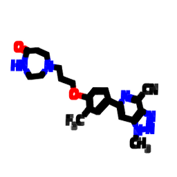 Cn1nnc2c(C#N)nc(-c3ccc(OCCCN4CCNC(=O)CC4)c(C(F)(F)F)c3)cc21